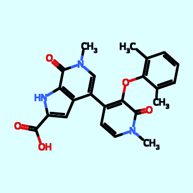 Cc1cccc(C)c1Oc1c(-c2cn(C)c(=O)c3[nH]c(C(=O)O)cc23)ccn(C)c1=O